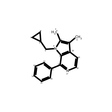 Cc1c(C)n(CC2CC2)c2c(-c3ccccc3)nccc12